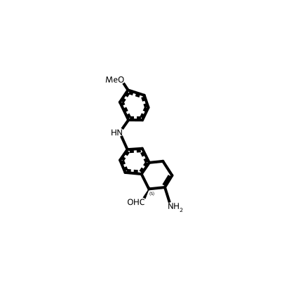 COc1cccc(Nc2ccc3c(c2)CC=C(N)[C@H]3C=O)c1